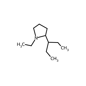 CCC(CC)C1CCCN1CC